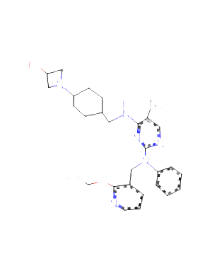 O=[N+]([O-])c1cnc(N(Cc2cccnc2OCC(F)(F)F)c2ccccc2)nc1NCC1CCC(N2CC(O)C2)CC1